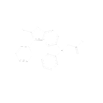 Cl.NC(=O)CC(O)(c1ccccc1)c1ccc2nc(N)n(N3C=CC=CS3)c2c1